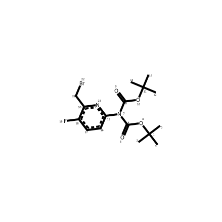 CC(C)(C)OC(=O)N(C(=O)OC(C)(C)C)c1ccc(F)c(CBr)n1